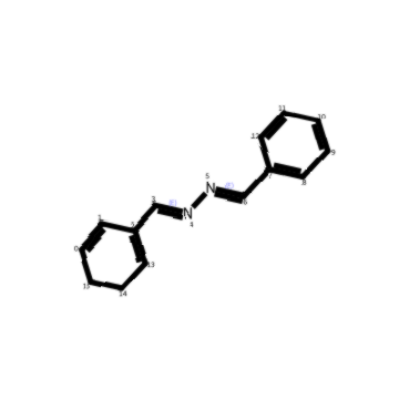 C1=CC(/C=N/N=C/c2ccccc2)=CCC1